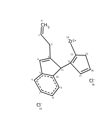 C=CCC1=Cc2ccccc2C1C1=[C]([Zr+2])CC=C1.[Cl-].[Cl-]